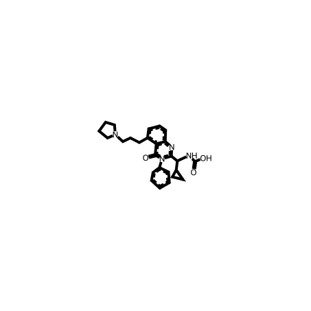 O=C(O)NC(c1nc2cccc(CCCN3CCCC3)c2c(=O)n1-c1ccccc1)C1CC1